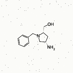 N[C@H]1C[C@@H](CO)N(Cc2ccccc2)C1